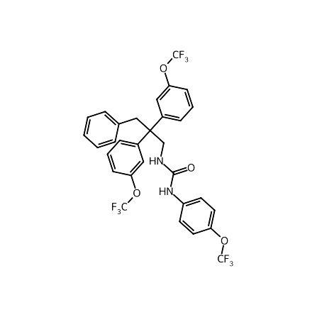 O=C(NCC(Cc1ccccc1)(c1cccc(OC(F)(F)F)c1)c1cccc(OC(F)(F)F)c1)Nc1ccc(OC(F)(F)F)cc1